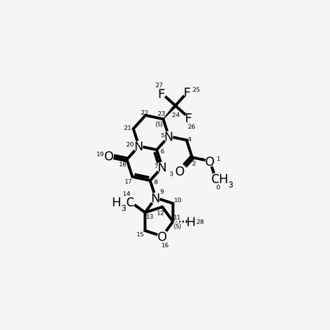 COC(=O)CN1c2nc(N3C[C@@H]4CC3(C)CO4)cc(=O)n2CC[C@H]1C(F)(F)F